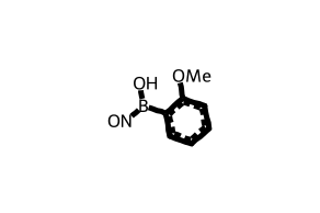 COc1ccccc1B(O)N=O